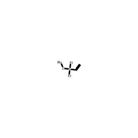 C=C[Si](CC)(CC)OC(C)CC